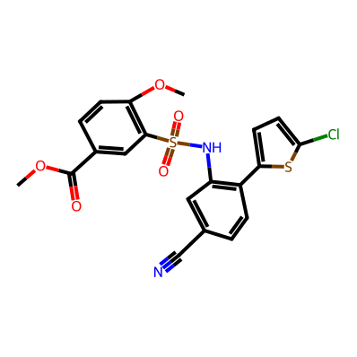 COC(=O)c1ccc(OC)c(S(=O)(=O)Nc2cc(C#N)ccc2-c2ccc(Cl)s2)c1